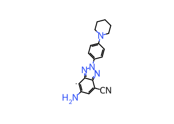 N#Cc1cc(N)[c]c2nn(-c3ccc(N4CCCCC4)cc3)nc12